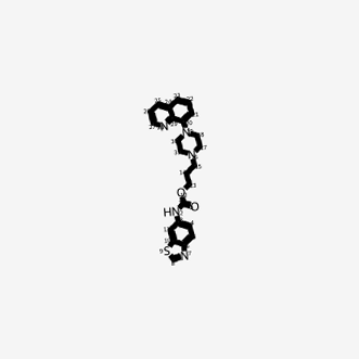 O=C(Nc1ccc2ncsc2c1)OCCCN1CCN(c2cccc3cccnc23)CC1